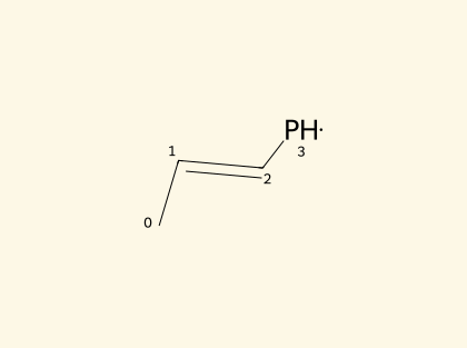 CC=C[PH]